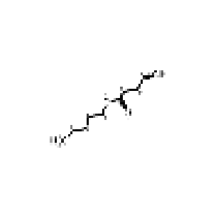 CCCCCOC(=O)CCC=N